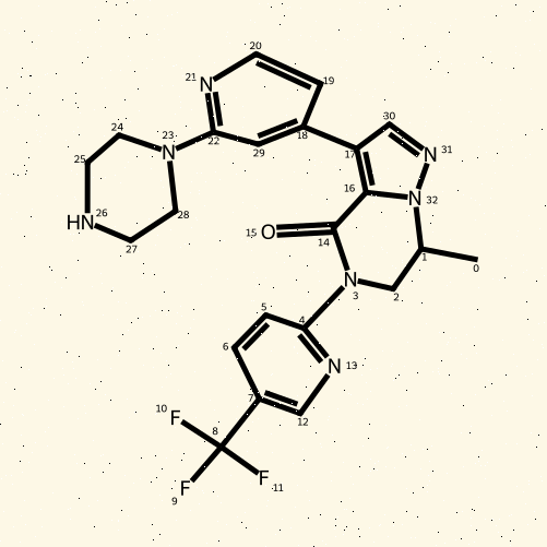 CC1CN(c2ccc(C(F)(F)F)cn2)C(=O)c2c(-c3ccnc(N4CCNCC4)c3)cnn21